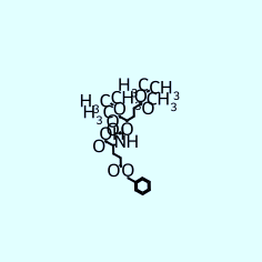 CC(C)(C)OC(=O)CCC(OC(=O)NC(CCC(=O)OCc1ccccc1)C(=O)O)C(=O)OC(C)(C)C